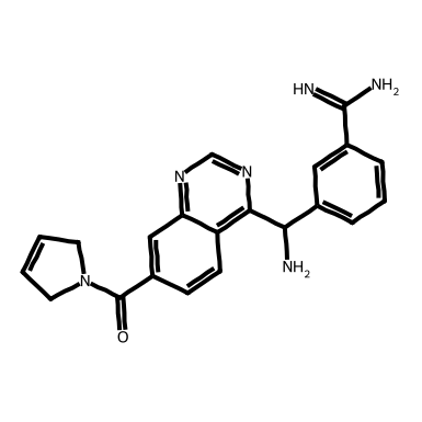 N=C(N)c1cccc(C(N)c2ncnc3cc(C(=O)N4CC=CC4)ccc23)c1